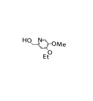 CCOc1cc(CO)ncc1OC